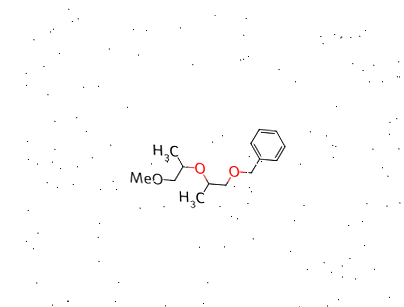 COCC(C)OC(C)COCc1ccccc1